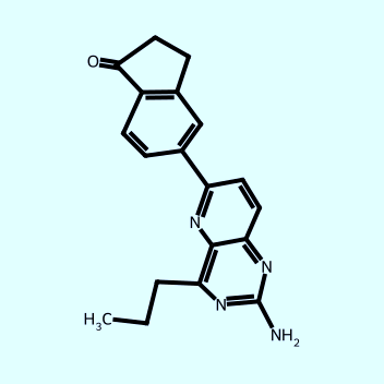 CCCc1nc(N)nc2ccc(-c3ccc4c(c3)CCC4=O)nc12